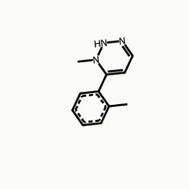 Cc1ccccc1C1=CC=NNN1C